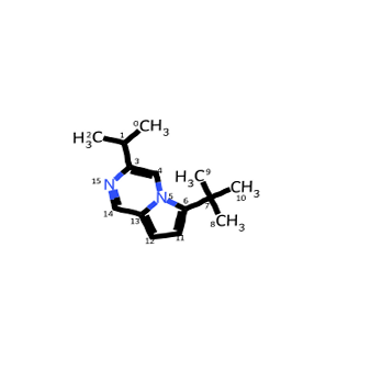 CC(C)c1cn2c(C(C)(C)C)ccc2cn1